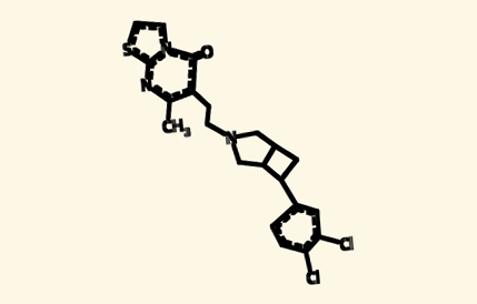 Cc1nc2sccn2c(=O)c1CCN1CC2CC(c3ccc(Cl)c(Cl)c3)C2C1